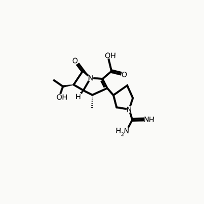 CC(O)[C@H]1C(=O)N2C(C(=O)O)=C(C3CCN(C(=N)N)C3)[C@H](C)[C@H]12